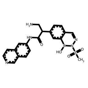 CS(=O)(=O)N1N=Cc2ccc(C(CN)C(=O)Nc3ccc4cnccc4c3)cc2B1O